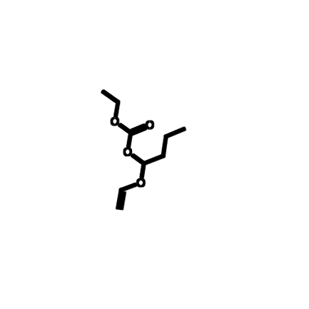 C=COC(CCC)OC(=O)OCC